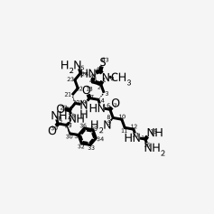 Cn1c(C[C@H](NC(=O)[C@H](N)CCCNC(=N)N)C(=O)N[C@@H](CCCCN)C(=O)N[C@@H](Cc2ccccc2)C(N)=O)c[nH]c1=S